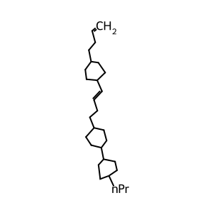 C=CCCC1CCC(C=CCCC2CCC(C3CCC(CCC)CC3)CC2)CC1